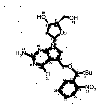 CC(C)(C)[C@H](OCc1cn([C@H]2C[C@@H](O)[C@@H](CO)O2)c2nc(N)nc(Cl)c12)c1ccccc1[N+](=O)[O-]